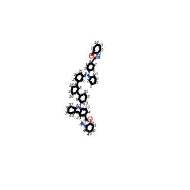 c1ccc(N(c2ccc(-c3nc4ccccc4o3)cc2)c2cccc(-c3cccc(-c4cccc(-n5c6ccccc6c6cc(-c7nc8ccccc8o7)ccc65)c4)c3)c2)cc1